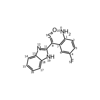 Nc1ccc(F)cc1C(=S=O)c1nc2ccccc2[nH]1